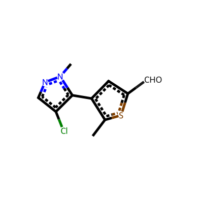 Cc1sc(C=O)cc1-c1c(Cl)cnn1C